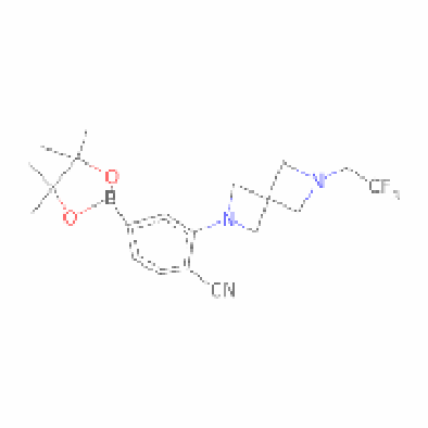 CC1(C)OB(c2ccc(C#N)c(N3CC4(CN(CC(F)(F)F)C4)C3)c2)OC1(C)C